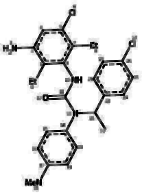 CCc1c(N)cc(Cl)c(CC)c1NC(=O)N(c1ccc(NC)cc1)C(C)c1ccc(Cl)cc1